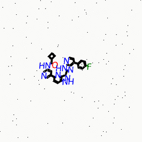 O=C(Nc1cncc(-c2ccc3[nH]nc(-c4nc5c(-c6ccc(F)cc6)ccnc5[nH]4)c3n2)c1)C1CCC1